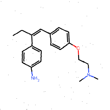 CC/C(=C/c1ccc(OCCN(C)C)cc1)c1ccc(N)cc1